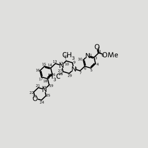 COC(=O)c1ccc(CN2C[C@@H](C)N(Cc3cccc(CN4CCOCC4)c3)[C@@H](C)C2)cn1